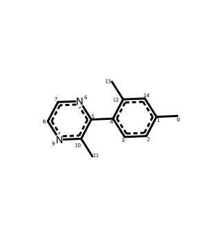 Cc1ccc(-c2nccnc2C)c(C)c1